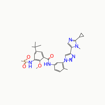 COc1c(NS(C)(=O)=O)cc(C(C)(C)C)cc1C(=O)Nc1ccc(C)c(-n2cc(-c3cnc(C4CC4)n3C)nn2)c1